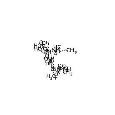 C#CC(CCCCCC)OCC(=O)NCCNC(=O)c1cc(COC(=O)NCC(=O)NCOCC(=O)N[C@H]2CCc3c(C)c(F)cc4nc5c(c2c34)Cn2c-5cc3c(c2=O)COC(=O)[C@]3(O)CC)ccc1O[C@@H]1O[C@H](C(=O)O)[C@@H](O)[C@H](O)[C@H]1O